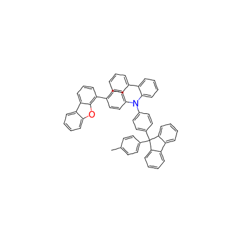 Cc1ccc(C2(c3ccc(N(c4ccc(-c5cccc6c5oc5ccccc56)cc4)c4ccccc4-c4ccccc4)cc3)c3ccccc3-c3ccccc32)cc1